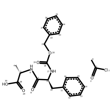 CC(=O)Cl.C[C@H](NC(=O)[C@H](Cc1ccccc1)NC(=O)OCc1ccccc1)C(=O)O